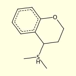 C[SH](C)C1CCOc2ccccc21